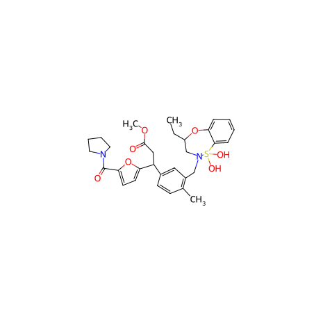 CCC1CN(Cc2cc(C(CC(=O)OC)c3ccc(C(=O)N4CCCC4)o3)ccc2C)S(O)(O)c2ccccc2O1